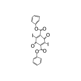 O=C(Oc1ccccc1)C1=C(I)C(=O)C(C(=O)Oc2ccccc2)=C(I)C1=O